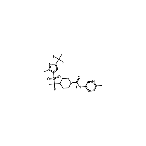 Cc1ccc(NC(=O)N2CCC(C(C)(F)S(=O)(=O)c3cc(C(C)(F)F)nn3C)CC2)cn1